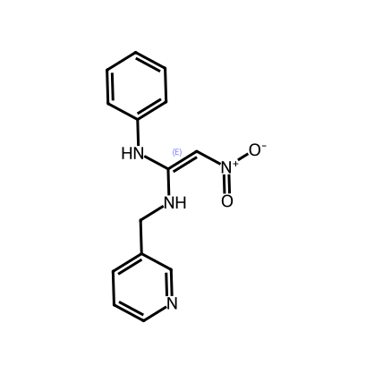 O=[N+]([O-])/C=C(\NCc1cccnc1)Nc1ccccc1